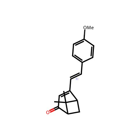 COc1ccc(/C=C/C2=CC(=O)C3CC2C3(C)C)cc1